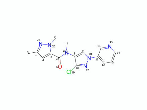 Cc1cc(C(=O)N(C)c2cn(-c3cccnc3)nc2Cl)n(C)n1